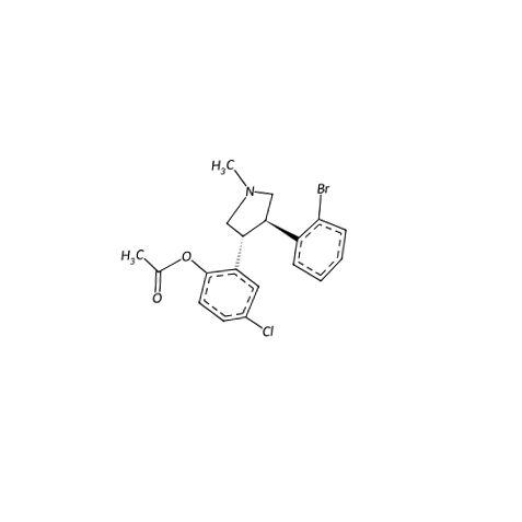 CC(=O)Oc1ccc(Cl)cc1[C@@H]1CN(C)C[C@H]1c1ccccc1Br